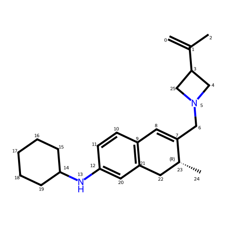 C=C(C)C1CN(CC2=Cc3ccc(NC4CCCCC4)cc3C[C@H]2C)C1